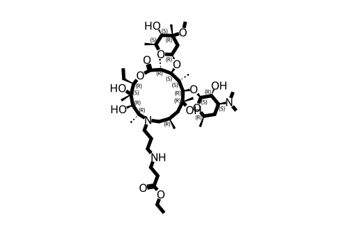 CCOC(=O)CCNCCCN1C[C@H](C)C[C@@](C)(O)[C@H](O[C@@H]2O[C@H](C)C[C@H](N(C)C)[C@H]2O)[C@@H](C)[C@H](O[C@H]2C[C@@](C)(OC)[C@@H](O)[C@H](C)O2)[C@@H](C)C(=O)O[C@H](CC)[C@@](C)(O)[C@H](O)[C@H]1C